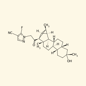 C[C@@]1(O)CC[C@H]2[C@H](CC[C@@H]3[C@@H]2CC[C@@]2(C)[C@H]3[C@H]3[C@@H]4[C@@]3(C)[C@@]42C(=O)Cn2ncc(C#N)c2F)C1